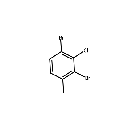 Cc1ccc(Br)c(Cl)c1Br